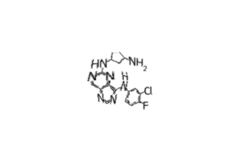 NC1CCC(Nc2ncc3ncnc(Nc4ccc(F)c(Cl)c4)c3n2)C1